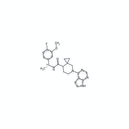 COc1cc([C@@H](C)NC(=O)C2CCN(c3ncnc4[nH]ccc34)CC23CC3)ccc1F